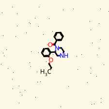 CCCOc1ccccc1C1CNCCN1C(=O)c1ccccc1